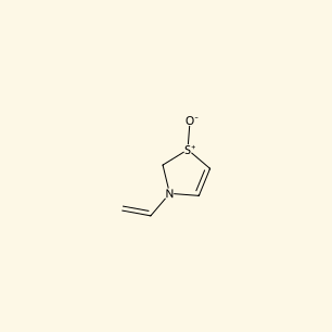 C=CN1C=C[S+]([O-])C1